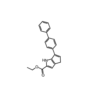 CCOC(=O)c1cc2c([nH]1)C(c1ccc(-c3ccccc3)cc1)=CC2